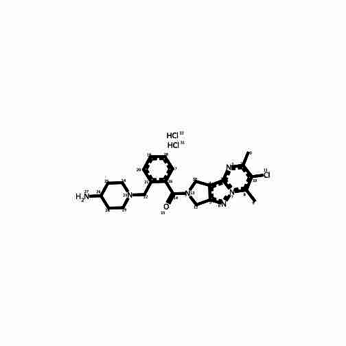 Cc1nc2c3c(nn2c(C)c1Cl)CN(C(=O)c1ccccc1CN1CCC(N)CC1)C3.Cl.Cl